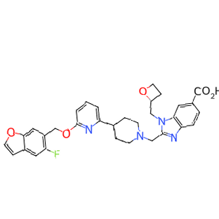 O=C(O)c1ccc2nc(CN3CCC(c4cccc(OCc5cc6occc6cc5F)n4)CC3)n(CC3CCO3)c2c1